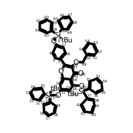 CC(C)(C)[Si](Oc1ccc(-c2oc3cc(O[Si](c4ccccc4)(c4ccccc4)C(C)(C)C)cc(O[Si](c4ccccc4)(c4ccccc4)C(C)(C)C)c3c(=O)c2OCc2ccccc2)cc1)(c1ccccc1)c1ccccc1